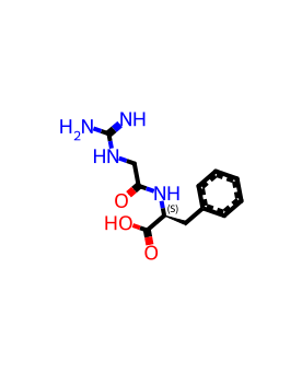 N=C(N)NCC(=O)N[C@@H](Cc1ccccc1)C(=O)O